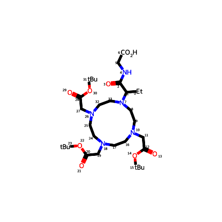 CCC(C(=O)NCC(=O)O)N1CCN(CC(=O)OC(C)(C)C)CCN(CC(=O)OC(C)(C)C)CCN(CC(=O)OC(C)(C)C)CC1